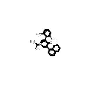 Cc1cccc(C)c1-c1cn(C(C)C)cc(-c2cccc3ccccc23)c1=O